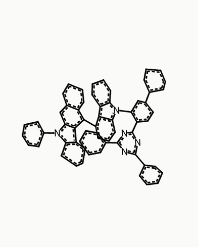 c1ccc(-c2ccc(-c3nc(-c4ccccc4)nc(-c4ccccc4)n3)c(-n3c4ccccc4c4c(-c5c6ccccc6cc6c5c5ccccc5n6-c5ccccc5)cccc43)c2)cc1